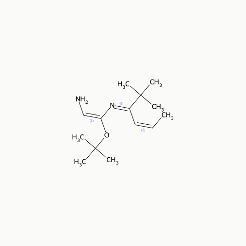 C\C=C/C(=N\C(=C/N)OC(C)(C)C)C(C)(C)C